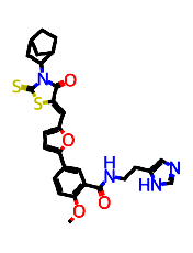 COc1ccc(-c2ccc(/C=C3\SC(=S)N(C4CC5CCC4C5)C3=O)o2)cc1C(=O)NCCc1cnc[nH]1